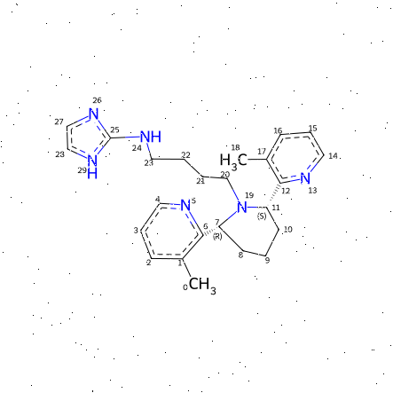 Cc1cccnc1[C@H]1CCC[C@@H](c2ncccc2C)N1CCCCNc1ncc[nH]1